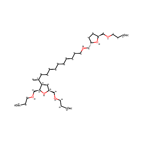 CCCCCCCCCCCCOC[C@@H]1CC[C@@H](COCCCCCCCCCCC(C)C2C[C@@H](COCCCCCCCCCCCC)O[C@H]2COCCCCCCCCCCCC)O1